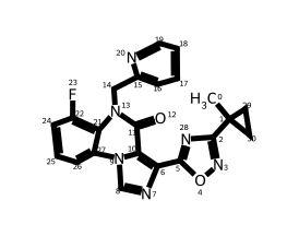 CC1(c2noc(-c3ncn4c3c(=O)n(Cc3ccccn3)c3c(F)cccc34)n2)CC1